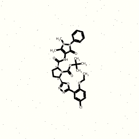 CCOc1ccc(Cl)cc1-c1nnc([C@H]2CC[C@@H](C(=O)Nc3c(C)n(C)n(-c4ccccc4)c3=O)N2C(=O)OC(C)(C)C)o1